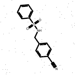 N#Cc1ccc(CNS(=O)(=O)c2ccccc2)cc1